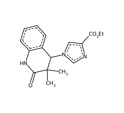 CCOC(=O)c1cn(C2c3ccccc3NC(=O)C2(C)C)cn1